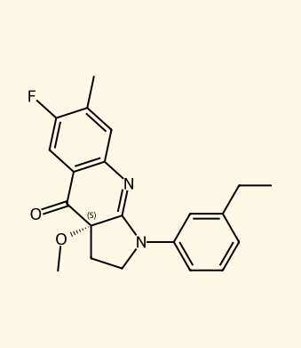 CCc1cccc(N2CC[C@@]3(OC)C(=O)c4cc(F)c(C)cc4N=C23)c1